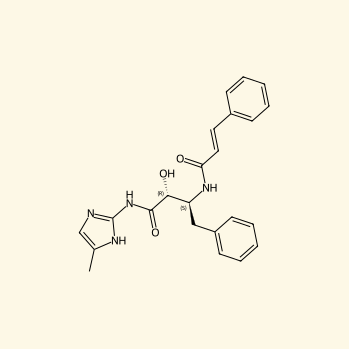 Cc1cnc(NC(=O)[C@H](O)[C@H](Cc2ccccc2)NC(=O)C=Cc2ccccc2)[nH]1